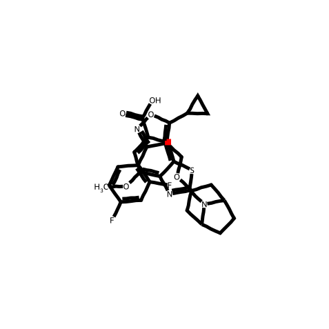 COc1cc(C(=O)O)cc2sc(N3C4CCC3CC(OCc3c(-c5ccc(F)cc5F)noc3C3CC3)C4)nc12